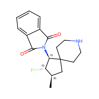 C[C@@H]1CC2(CCNCC2)[C@H](N2C(=O)c3ccccc3C2=O)[C@H]1F